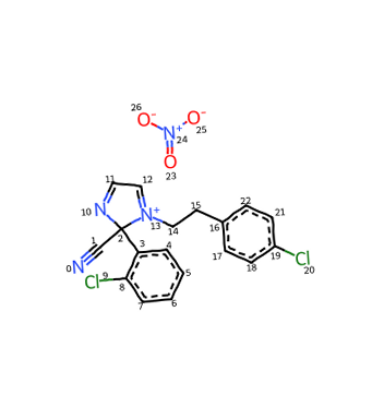 N#CC1(c2ccccc2Cl)N=CC=[N+]1CCc1ccc(Cl)cc1.O=[N+]([O-])[O-]